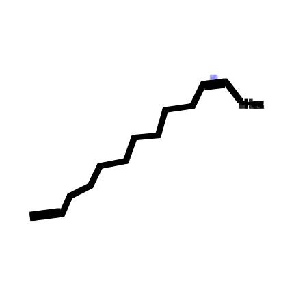 C=CCCCCCCCC/C=C\CCCCCC